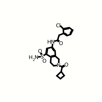 NS(=O)(=O)c1cc(NC(=O)Cc2ccccc2Cl)cc2c1CCN(C(=O)C1CCC1)C2